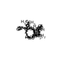 C=C[C@@H]1C[C@]1(NC(=O)[C@@H]1C[C@@H]2CN1C(=O)[C@H](C(C)(C)C)NC(=O)O[C@@H]1C[C@H]1CCCCCc1c(nc3cc(C(C)C)ccc3c1OCCCN1CCOCC1)O2)C(=O)NS(=O)(=O)C1(C)CC1